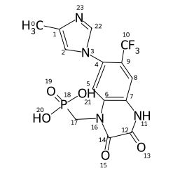 Cc1cn(-c2cc3c(cc2C(F)(F)F)[nH]c(=O)c(=O)n3CP(=O)(O)O)cn1